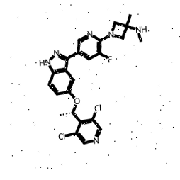 CNC1(C)CN(c2ncc(-c3n[nH]c4ccc(O[C@@H](C)c5c(Cl)cncc5Cl)cc34)cc2F)C1